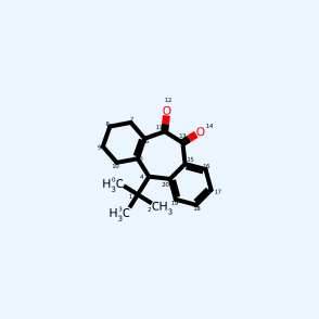 CC(C)(C)C1C2=C(CCCC2)C(=O)C(=O)c2ccccc21